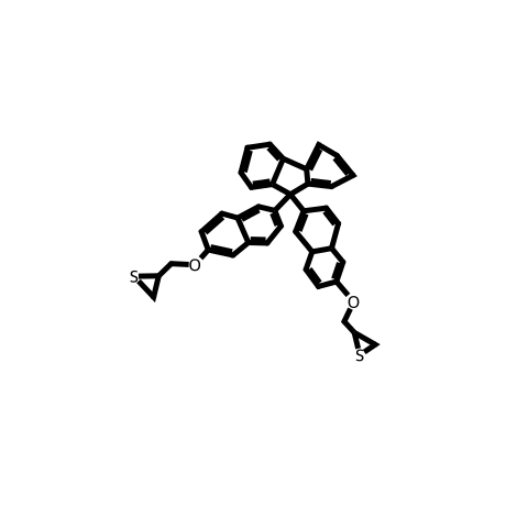 C1=CC2C=C(C3(c4ccc5cc(OCC6CS6)ccc5c4)c4ccccc4-c4ccccc43)C=CC2C=C1OCC1CS1